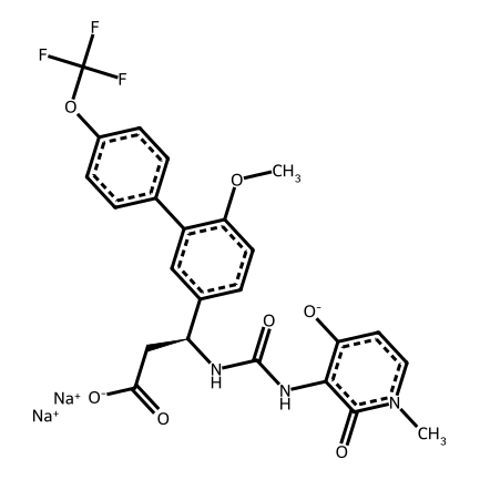 COc1ccc([C@H](CC(=O)[O-])NC(=O)Nc2c([O-])ccn(C)c2=O)cc1-c1ccc(OC(F)(F)F)cc1.[Na+].[Na+]